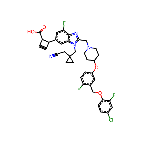 N#CCC1(Cn2c(CN3CCC(Oc4ccc(F)c(COc5ccc(Cl)cc5F)c4)CC3)nc3c(F)cc(C4C#CC4C(=O)O)cc32)CC1